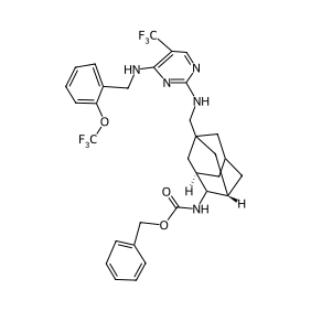 O=C(NC1[C@@H]2CC3C[C@H]1CC(CNc1ncc(C(F)(F)F)c(NCc4ccccc4OC(F)(F)F)n1)(C3)C2)OCc1ccccc1